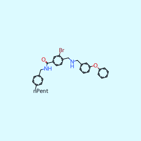 CCCCCc1ccc(CNC(=O)c2ccc(CNCc3cccc(Oc4ccccc4)c3)c(Br)c2)cc1